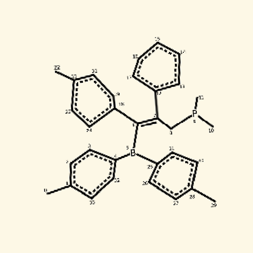 Cc1ccc(B(/C(=C(\CP(C)C)c2ccccc2)c2ccc(C)cc2)c2ccc(C)cc2)cc1